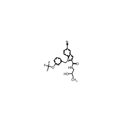 CCC(O)CNC(=O)c1cc2cc(C#N)ccc2n1Cc1cccc(OC(F)(F)F)c1